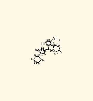 CC(C)[C@H](C)n1cc(-c2cc(C3=CCOCC3)n(C)n2)c2[nH]nc(N)c2c1=O